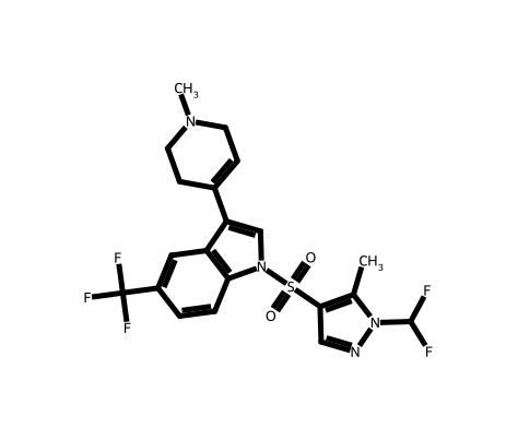 Cc1c(S(=O)(=O)n2cc(C3=CCN(C)CC3)c3cc(C(F)(F)F)ccc32)cnn1C(F)F